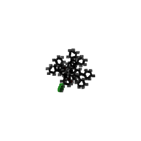 CC1=C(C)[C]([Ti+3])([Si](c2cc(-c3ccccc3)c(-c3ccccc3)cc2-c2ccccc2)(c2cc(-c3ccccc3)c(-c3ccccc3)cc2-c2ccccc2)c2cc(-c3ccccc3)c(-c3ccccc3)cc2-c2ccccc2)C(C)=C1C.[Cl-].[Cl-].[Cl-]